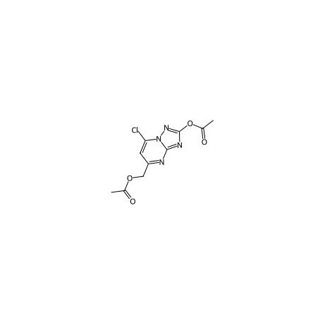 CC(=O)OCc1cc(Cl)n2nc(OC(C)=O)nc2n1